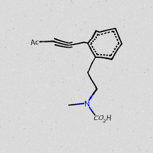 CC(=O)C#Cc1ccccc1CCN(C)C(=O)O